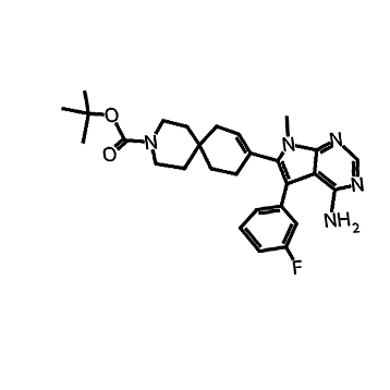 Cn1c(C2=CCC3(CC2)CCN(C(=O)OC(C)(C)C)CC3)c(-c2cccc(F)c2)c2c(N)ncnc21